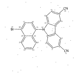 N#Cc1ccc2c(c1)c1cc(C#N)ccc1n2-c1ccc(Br)c2ccccc12